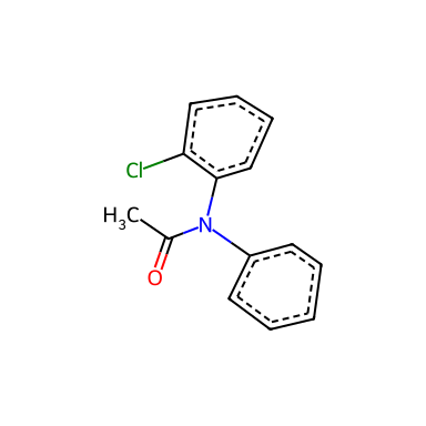 CC(=O)N(c1ccccc1)c1ccccc1Cl